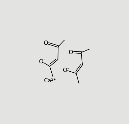 CC(=O)/C=C(/C)[O-].CC(=O)/C=C(/C)[O-].[Ca+2]